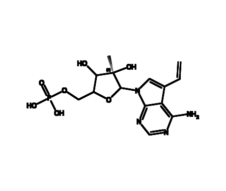 C=Cc1cn(C2OC(COP(=O)(O)O)C(O)[C@@]2(C)O)c2ncnc(N)c12